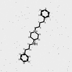 c1ccc(CCCCN2CCC(NCCCc3ccccc3)CC2)cc1